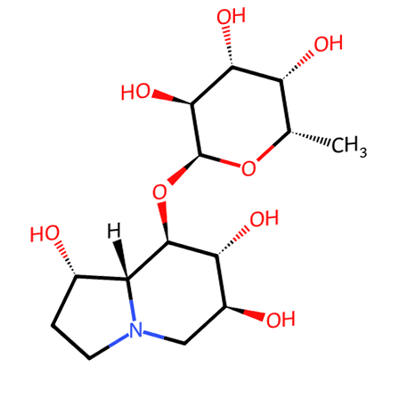 C[C@@H]1O[C@@H](O[C@H]2[C@H](O)[C@@H](O)CN3CC[C@H](O)[C@H]23)[C@@H](O)[C@H](O)[C@@H]1O